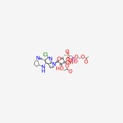 CC(=O)OCOP(=O)(CS(=O)(=O)C[C@H]1O[C@H](n2ccc3c(NC4CCCC4)c(C#N)c(Cl)nc32)[C@H](O)[C@@H]1O)OCOC(C)=O